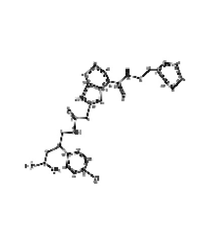 CC(C)CC(CNC(=O)Cc1cn2c(C(=O)NCCc3ccccc3)cccc2n1)c1ccc(Cl)cc1